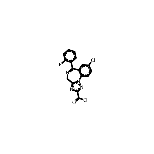 O=C(Cl)c1nc2n(n1)-c1ccc(Cl)cc1C(c1ccccc1F)=NC2